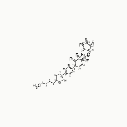 CCCCCC1CCC(c2ccc(-c3ccc(C(F)(F)Oc4cc(F)c(F)c(F)c4)c(F)c3F)cc2)CC1